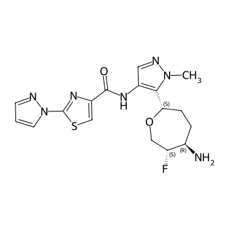 Cn1ncc(NC(=O)c2csc(-n3cccn3)n2)c1[C@@H]1CC[C@@H](N)[C@H](F)CO1